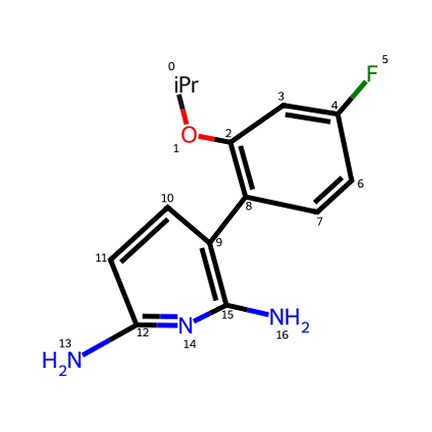 CC(C)Oc1cc(F)ccc1-c1ccc(N)nc1N